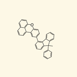 CC1(c2ccccc2)c2ccccc2-c2c(-c3ccc4c(c3)-c3cccc5cccc(c35)O4)cccc21